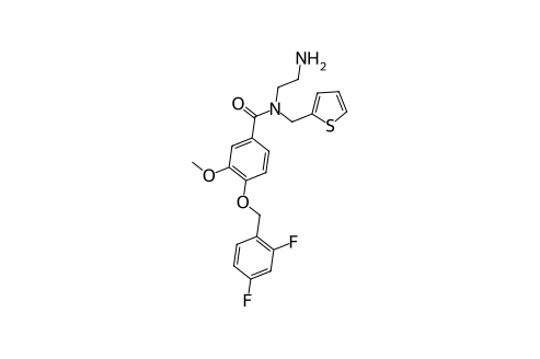 COc1cc(C(=O)N(CCN)Cc2cccs2)ccc1OCc1ccc(F)cc1F